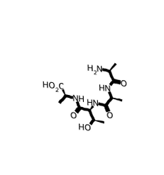 C[C@H](N)C(=O)N[C@@H](C)C(=O)N[C@H](C(=O)N[C@@H](C)C(=O)O)[C@@H](C)O